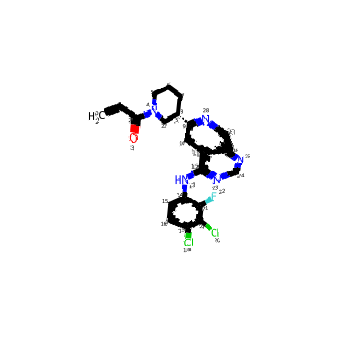 C=CC(=O)N1CCC[C@H](c2cc3c(Nc4ccc(Cl)c(Cl)c4F)ncnc3cn2)C1